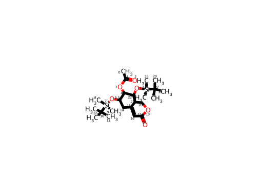 CC(=O)OC1C(O[Si](C)(C)C(C)(C)C)CC2=CC(=O)OCC2C1O[Si](C)(C)C(C)(C)C